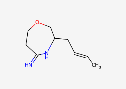 CC=CCC1COCCC(=N)N1